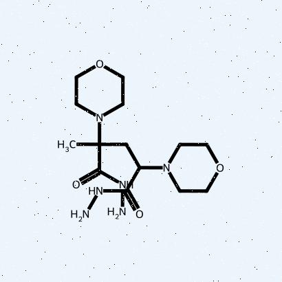 CC(CC(C(=O)NN)N1CCOCC1)(C(=O)NN)N1CCOCC1